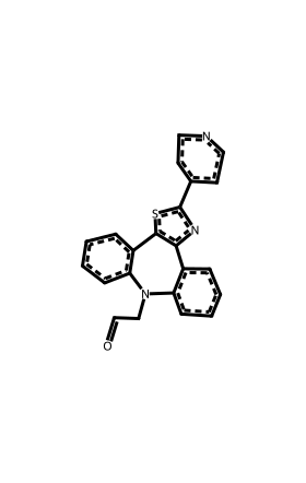 O=CCN1c2ccccc2-c2nc(-c3ccncc3)sc2-c2ccccc21